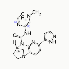 C=N/C=C(\N=C/C)NC(=O)N1c2nc(-c3ccn[nH]3)ccc2N2CC[C@H]1C2